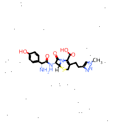 Cn1cc(CCC2=C(C(=O)O)N3C(=O)[C@@H](NC(=O)[C@H](N)c4ccc(O)cc4)[C@H]3SC2)nn1